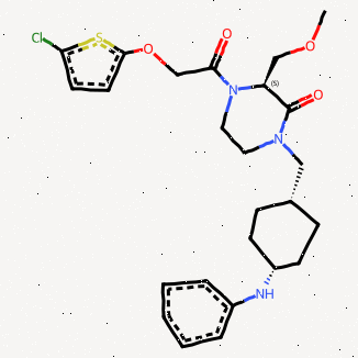 COC[C@H]1C(=O)N(C[C@H]2CC[C@@H](Nc3ccccc3)CC2)CCN1C(=O)COc1ccc(Cl)s1